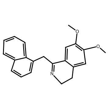 COc1cc2c(cc1OC)C(Cc1cccc3ccccc13)=NCC2